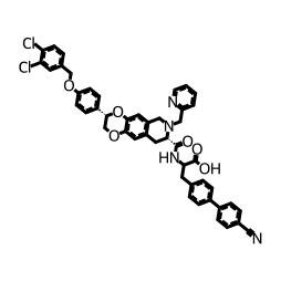 N#Cc1ccc(-c2ccc(CC(NC(=O)[C@@H]3Cc4cc5c(cc4CN3Cc3ccccn3)O[C@@H](c3ccc(OCc4ccc(Cl)c(Cl)c4)cc3)CO5)C(=O)O)cc2)cc1